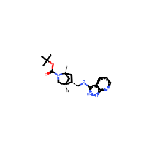 CC(C)(C)OC(=O)N1C[C@H]2C[C@@H]1C[C@@H]2CNc1[nH]nc2ncccc12